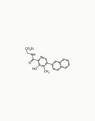 CCOC(=O)CNC(=O)c1ncc(-c2ccc3ccccc3c2)c(C)c1O